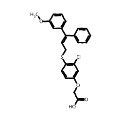 COc1cccc(C(=CCSc2ccc(OCC(=O)O)cc2Cl)c2ccccc2)c1